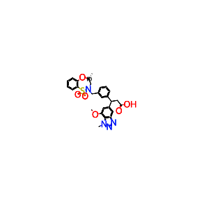 COc1cc(C(CC(=O)O)c2cccc(CN3C[C@@H](C)Oc4ccccc4S3(=O)=O)c2)cc2nnn(C)c12